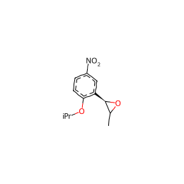 CC(C)Oc1ccc([N+](=O)[O-])cc1[C@H]1OC1C